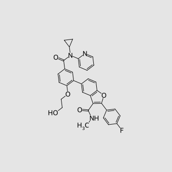 CNC(=O)c1c(-c2ccc(F)cc2)oc2ccc(-c3cc(C(=O)N(c4ccccn4)C4CC4)ccc3OCCO)cc12